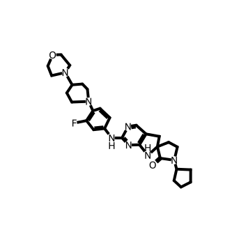 O=C1N(C2CCCC2)CCC12Cc1cnc(Nc3ccc(N4CCC(N5CCOCC5)CC4)c(F)c3)nc1N2